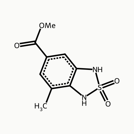 COC(=O)c1cc(C)c2c(c1)NS(=O)(=O)N2